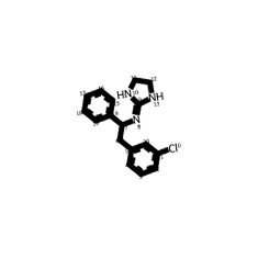 Clc1cccc(CC(N=C2NCCN2)c2ccccc2)c1